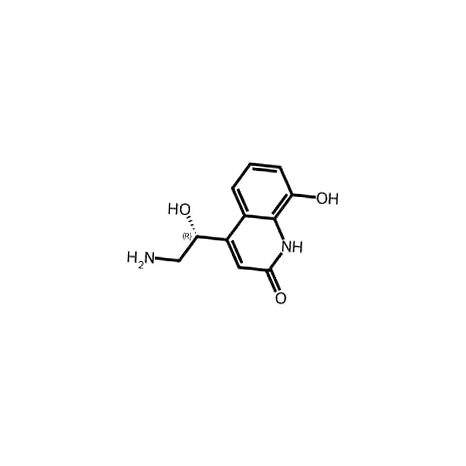 NC[C@H](O)c1cc(=O)[nH]c2c(O)cccc12